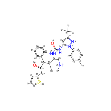 Cc1ccc(-n2nc(C(C)(C)C)cc2NC(=O)Nc2ccccc2C(C(=O)Cc2cccs2)C2CCNCC2)cc1